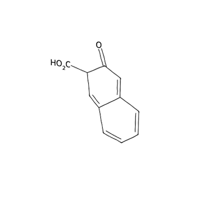 O=C(O)C1C=c2ccccc2=CC1=O